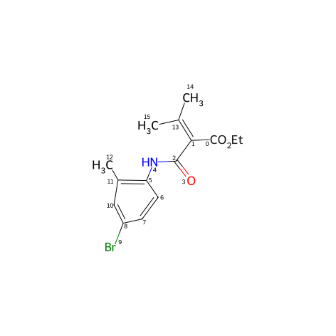 CCOC(=O)C(C(=O)Nc1ccc(Br)cc1C)=C(C)C